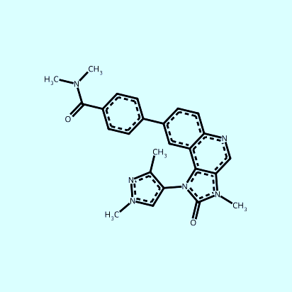 Cc1nn(C)cc1-n1c(=O)n(C)c2cnc3ccc(-c4ccc(C(=O)N(C)C)cc4)cc3c21